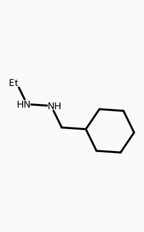 CCNNCC1CCCCC1